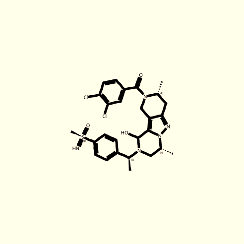 C[C@@H]1Cc2nn3c(c2CN1C(=O)c1ccc(Cl)c(Cl)c1)C(O)N([C@@H](C)c1ccc([S@](C)(=N)=O)cc1)C[C@H]3C